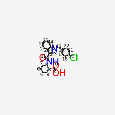 O=C(O)c1ccccc1NC(=O)c1cn(Cc2ccc(Cl)cc2)c2ccccc12